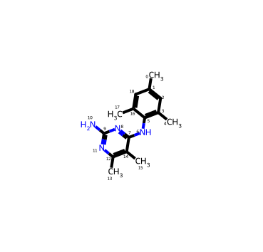 Cc1cc(C)c(Nc2nc(N)nc(C)c2C)c(C)c1